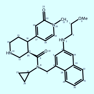 COCCNc1cc(CN(C(=O)[C@H]2CNCCC2c2ccn(C)c(=O)c2)C2CC2)c2ccccc2c1